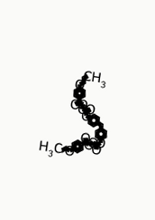 CCCOc1ccc(C(=O)OOC(=O)OC2CCC(CC3CCC(OC(=O)OOC(=O)c4ccc(OCCC)cc4)CC3)CC2)cc1